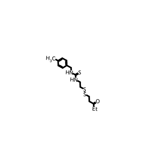 CCC(=O)CCSSCCNC(=S)NCc1ccc(C)cc1